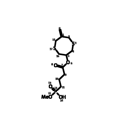 C=C1CSCC(OC(=O)CCCP(=O)(O)OC)CSC1